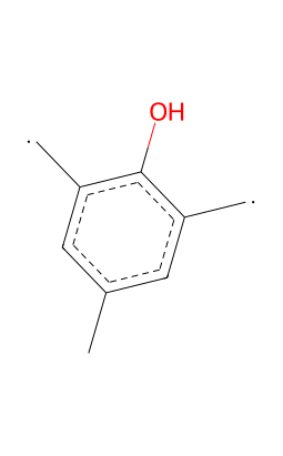 [CH2]c1cc(C)cc([CH2])c1O